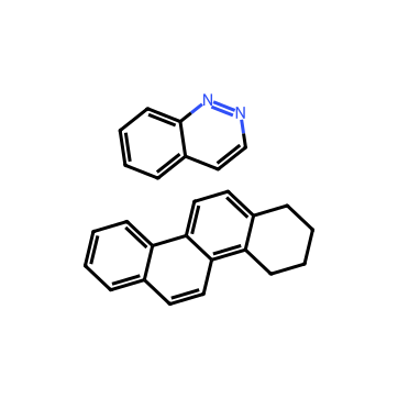 c1ccc2c(c1)ccc1c3c(ccc12)CCCC3.c1ccc2nnccc2c1